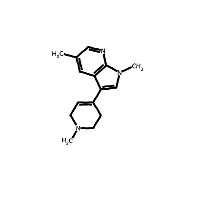 Cc1cnc2c(c1)c(C1=CCN(C)CC1)cn2C